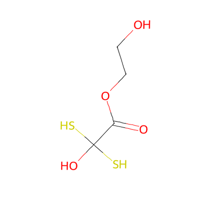 O=C(OCCO)C(O)(S)S